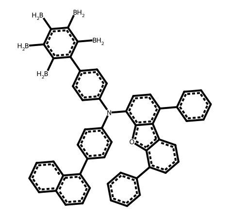 Bc1c(B)c(B)c(-c2ccc(N(c3ccc(-c4cccc5ccccc45)cc3)c3ccc(-c4ccccc4)c4c3oc3c(-c5ccccc5)cccc34)cc2)c(B)c1B